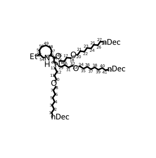 CCCCCCCCCCCCCCCCCCOCCCC[N+](CCCCOCCCCCCCCCCCCCCCCCC)(CCCCOCCCCCCCCCCCCCCCCCC)CC(=O)C1CCCCCC(CC)CN1